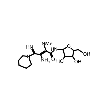 CN/C(C(=O)NC1OC(CO)C(O)C1O)=C(/N)C(=N)N1CCCCC1